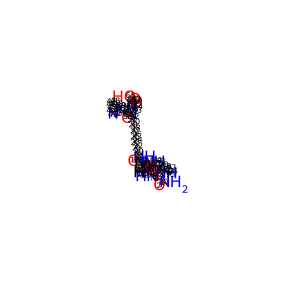 NC(=O)CC[C@H](NC(=O)[C@@H]1CC[C@@H]2CCN(C(=O)NCCCCCCCCCCCCCCN(C(=O)[C@H]3CCCN(c4cncc5ccccc45)C3)c3ccc(=O)n(CC(=O)O)c3)C[C@H](N)C(=O)N21)C(=O)NC(c1ccccc1)c1ccccc1